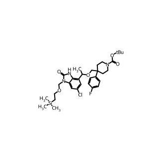 CC(OCC1(c2ccc(F)cc2)CCN(C(=O)OC(C)(C)C)CC1)c1cc(Cl)cc2c1[nH]c(=O)n2COCC[Si](C)(C)C